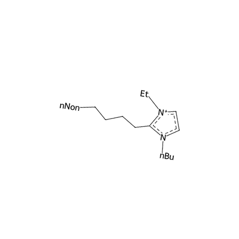 CCCCCCCCCCCCCc1n(CCCC)cc[n+]1CC